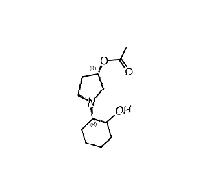 CC(=O)O[C@@H]1CCN([C@@H]2CCCCC2O)C1